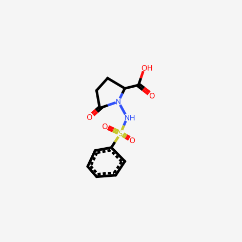 O=C(O)C1CCC(=O)N1NS(=O)(=O)c1ccccc1